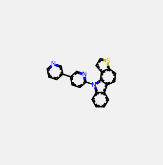 c1cncc(-c2ccc(-n3c4ccccc4c4ccc5sccc5c43)nc2)c1